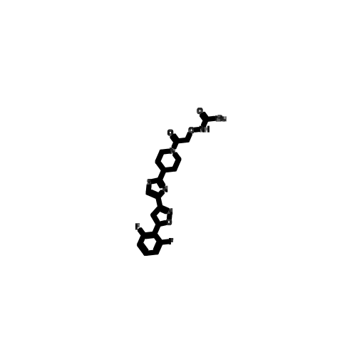 CC(C)(C)C(=O)NOCC(=O)N1CCC(c2nc(C3=NOC(c4c(F)cccc4F)C3)cs2)CC1